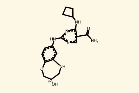 NC(=O)c1cnc(Nc2ccc3c(c2)NC[C@H](O)CO3)nc1NC1CCC1